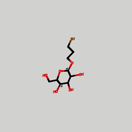 OCC1O[C@@H](OCCCS)C(O)C(O)[C@H]1O